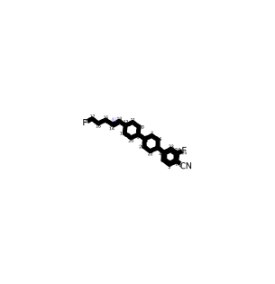 N#Cc1ccc(C2CCC(C3CCC(/C=C/CCCF)CC3)CC2)cc1F